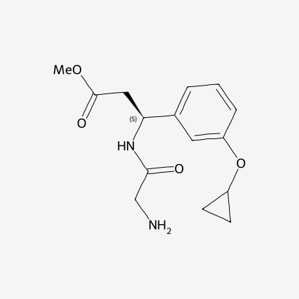 COC(=O)C[C@H](NC(=O)CN)c1cccc(OC2CC2)c1